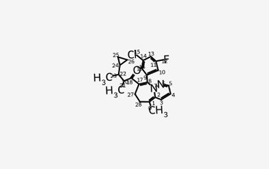 CC1=C2C=CC=NN2C(c2cc(F)cc(Cl)c2)=C(C(=O)C(C)C(C)C2CC2)CC1